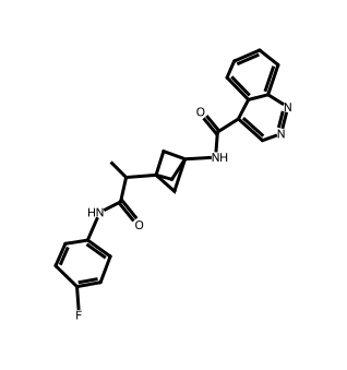 CC(C(=O)Nc1ccc(F)cc1)C12CC(NC(=O)c3cnnc4ccccc34)(C1)C2